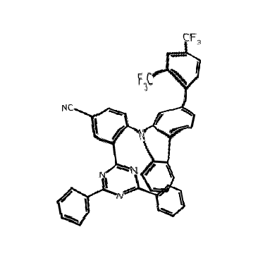 N#Cc1ccc(-n2c3ccccc3c3ccc(-c4ccc(C(F)(F)F)cc4C(F)(F)F)cc32)c(-c2nc(-c3ccccc3)nc(-c3ccccc3)n2)c1